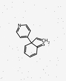 C=CC1(c2ccncc2)C=CC=CC1=S